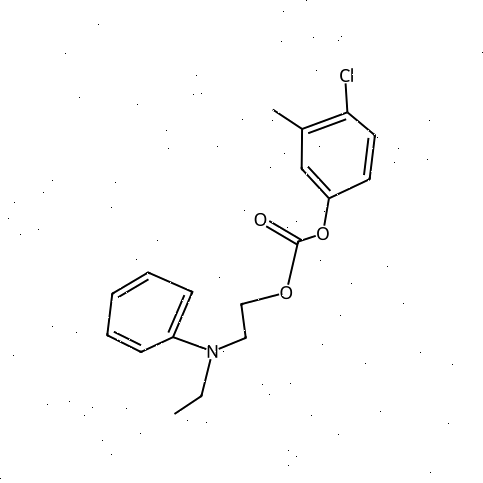 CCN(CCOC(=O)Oc1ccc(Cl)c(C)c1)c1ccccc1